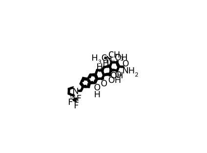 CN(C)[C@@H]1C(O)=C(C(N)=O)C(=O)[C@@]2(O)C(O)=C3C(=O)c4c(cc5ccc(CN6CCC[C@H]6C(F)(F)F)cc5c4O)C[C@H]3C[C@@H]12